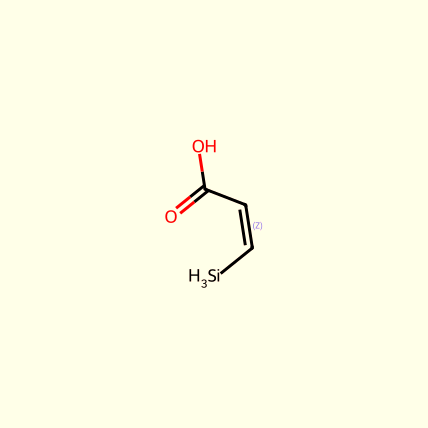 O=C(O)/C=C\[SiH3]